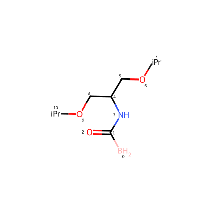 BC(=O)NC(COC(C)C)COC(C)C